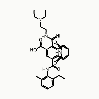 CCc1cccc(C)c1NC(=O)c1cc(C(=O)O)c(C(=N)NCCN(CC)CC)c2c3ccc(c(=O)[nH]c3=O)c12